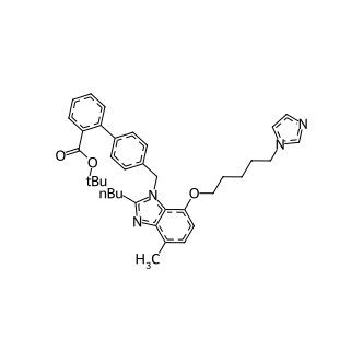 CCCCc1nc2c(C)ccc(OCCCCCn3ccnc3)c2n1Cc1ccc(-c2ccccc2C(=O)OC(C)(C)C)cc1